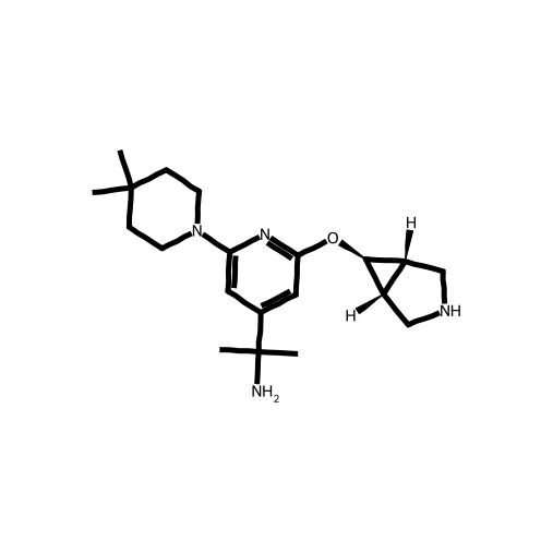 CC1(C)CCN(c2cc(C(C)(C)N)cc(O[C@H]3[C@@H]4CNC[C@@H]43)n2)CC1